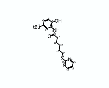 CC(C)(C)c1ccc(O)c(NC(=O)CCCCCSc2ncccn2)c1